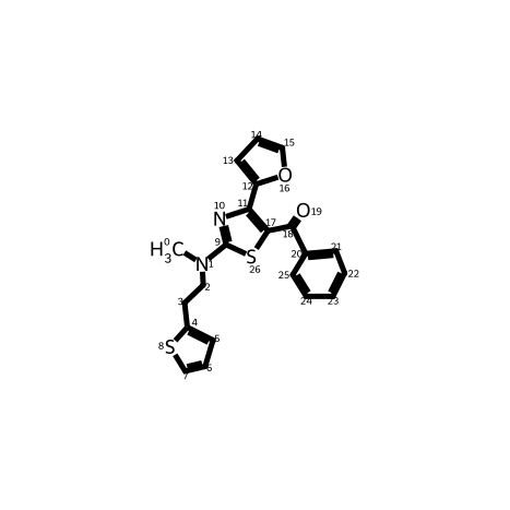 CN(CCc1cccs1)c1nc(-c2ccco2)c(C(=O)c2ccccc2)s1